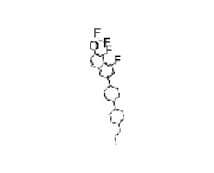 CCCC1CCC(C2CCC(c3cc(F)c4c(F)c(OC(F)F)ccc4c3)CC2)CC1